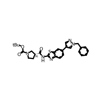 CC(C)(C)OC(=O)N1CC[C@@H](C(=O)Nc2nc3ccc(-c4cnn(Cc5ccccc5)c4)cc3s2)C1